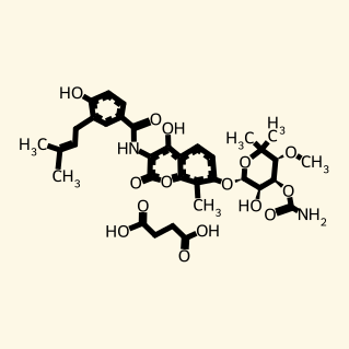 CO[C@@H]1[C@@H](OC(N)=O)[C@@H](O)[C@H](Oc2ccc3c(O)c(NC(=O)c4ccc(O)c(CC=C(C)C)c4)c(=O)oc3c2C)OC1(C)C.O=C(O)CCC(=O)O